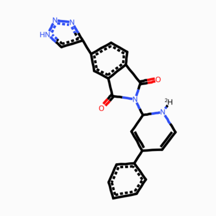 [2H]N1C=CC(c2ccccc2)=CC1N1C(=O)c2ccc(-c3c[nH]nn3)cc2C1=O